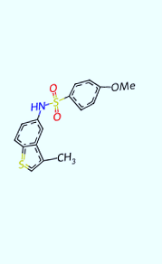 COc1ccc(S(=O)(=O)Nc2ccc3scc(C)c3c2)cc1